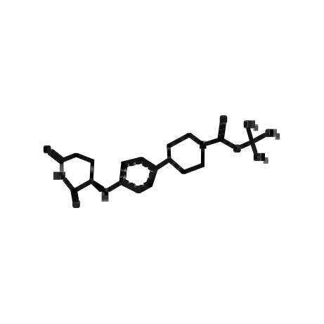 CC(C)(C)OC(=O)N1CCC(c2ccc(N[C@@H]3CCC(=O)NC3=O)cc2)CC1